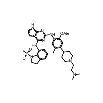 COc1cc(C2CCN(CCN(C)C)CC2)c(C)cc1Nc1nc(Nc2cccc3c2N(S(C)(=O)=O)CC3)c2cc[nH]c2n1